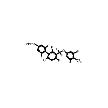 CCCCCc1cc(F)c(-c2c([O])cc(F)c(C(F)(F)Oc3cc(F)c(C(F)(F)F)c(F)c3)c2F)c(F)c1